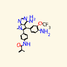 C=C(C)C(=O)Nc1ccc(-c2c(-c3ccc(N)c(OC(F)(F)F)c3)c3c(N)ncnc3n2C)cc1